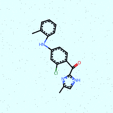 Cc1c[nH]c(C(=O)c2ccc(Nc3ccccc3C)cc2Cl)n1